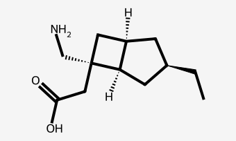 CC[C@@H]1C[C@@H]2C[C@](CN)(CC(=O)O)[C@@H]2C1